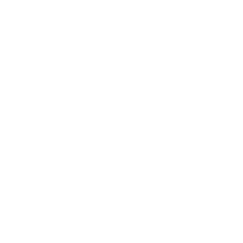 Cc1c[nH]c2ncc(-c3cc4c(c([C@@H]5CCCN5C(=O)OC(C)(C)C)c3)CN(CC(=O)O)CC4)cc12